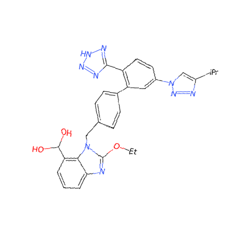 CCOc1nc2cccc(C(O)O)c2n1Cc1ccc(-c2cc(-n3cc(C(C)C)nn3)ccc2-c2nn[nH]n2)cc1